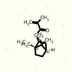 C=C(C)C(=O)OC1C[C@H]2CC[C@@]1(C)C2(C)C.[CH3]